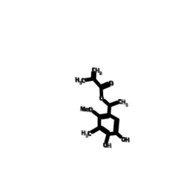 C=C(C)C(=O)OC(C)c1cc(O)c(O)c(C)c1OC